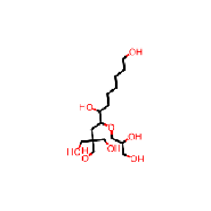 OCCCCCCC(O)C(CC(CO)(CO)CO)OCC(O)CO